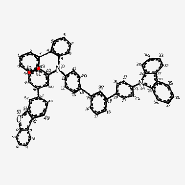 c1ccc(-c2ccccc2N(c2ccc(-c3cccc(-c4ccc(-n5c6ccccc6c6ccccc65)cc4)c3)cc2)c2cccc(-c3ccc4c(c3)oc3ccccc34)c2)cc1